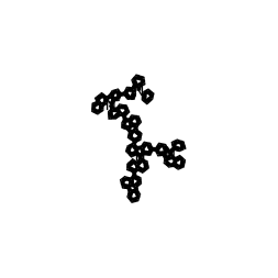 c1ccc(-n2c3ccccc3c3cc(-c4ccc5c6ccc7ccccc7c6n(-c6cccc7c(-c8ccc9c%10c(cccc8%10)-c8ccc(-c%10cccc%11c%10c%10ccc(-c%12ccc%13c(c%12)c%12ccc%14ccccc%14c%12n%13-c%12ccccc%12)cc%10n%11-c%10cccc%11c(-c%12ccc%13c%14c(cccc%12%14)-c%12ccccc%12-%13)cccc%10%11)cc8-9)cccc67)c5c4)ccc32)cc1